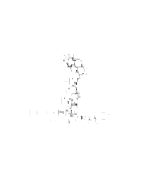 CCOC(=O)CC[C@H](NC(=O)c1ccc(NCc2ccc3ccc4nc(C)[nH]c(=O)c4c3c2)cc1F)C(=O)N[C@@H](CCC(=O)OCC)C(=O)OCC